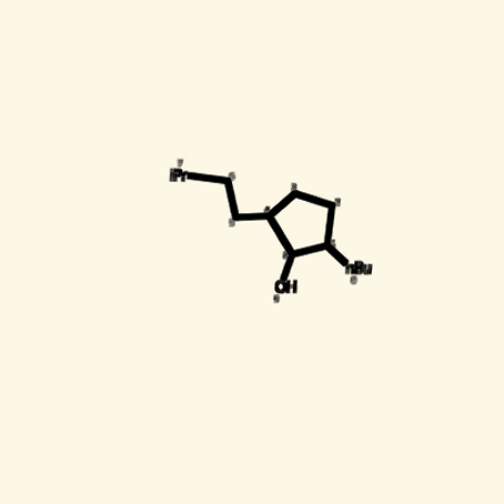 CCCCC1CCC(CCC(C)C)C1O